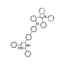 C1=CCCC(N2C3=C(c4ccccc4N(c4ccc(-c5ccc(C6C=C(c7ccccc7)NC(c7ccccc7)N6)cc5)cc4)c4ccccc43)C3C=CCCC32)=C1